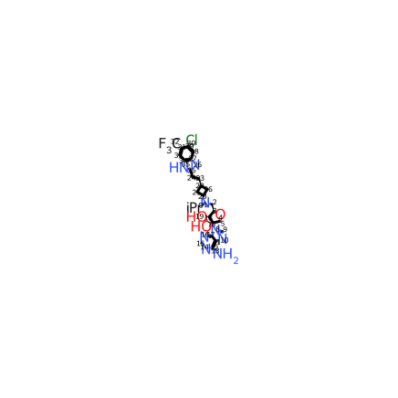 CC(C)N(C[C@H]1OC[C@@](O)(n2cnc3c(N)ncnc32)[C@@H]1O)[C@H]1C[C@@H](CCc2nc3cc(Cl)c(C(F)(F)F)cc3[nH]2)C1